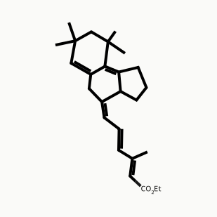 CCOC(=O)/C=C(C)/C=C/C=C1/CC2=CC(C)(C)CC(C)(C)C2=C2CCCC21